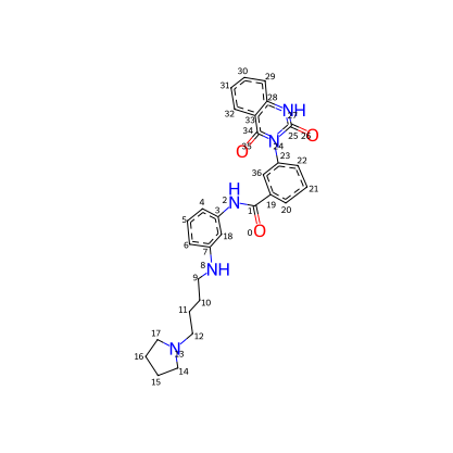 O=C(Nc1cccc(NCCCCN2CCCC2)c1)c1cccc(-n2c(=O)[nH]c3ccccc3c2=O)c1